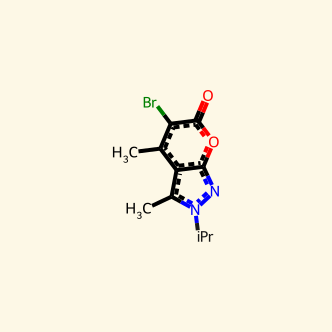 Cc1c(Br)c(=O)oc2nn(C(C)C)c(C)c12